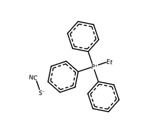 CC[P+](c1ccccc1)(c1ccccc1)c1ccccc1.N#C[S-]